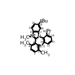 Cc1ccc(C)c(-c2n(-c3c(C(C)C)cccc3C(C)C)c3cc(C(C)(C)C)ccc3[n+]2C)c1